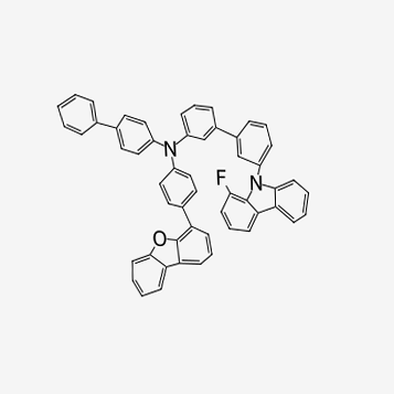 Fc1cccc2c3ccccc3n(-c3cccc(-c4cccc(N(c5ccc(-c6ccccc6)cc5)c5ccc(-c6cccc7c6oc6ccccc67)cc5)c4)c3)c12